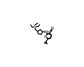 CC[Si](CC)(CC)CC1CCC(Nc2nc(C3CC3)ccc2C#N)C1